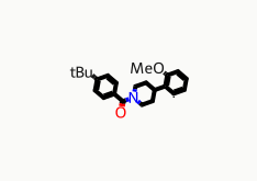 COc1ccc[c]c1C1CCN(C(=O)c2ccc(C(C)(C)C)cc2)CC1